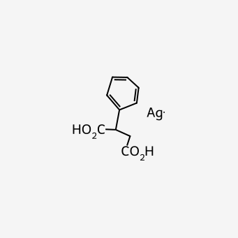 O=C(O)CC(C(=O)O)c1ccccc1.[Ag]